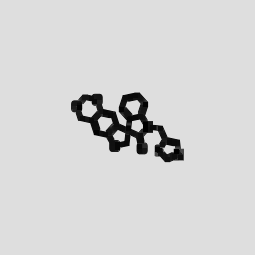 O=C1N(Cc2cncs2)c2ccccc2C12COc1cc3c(cc12)OCOC3